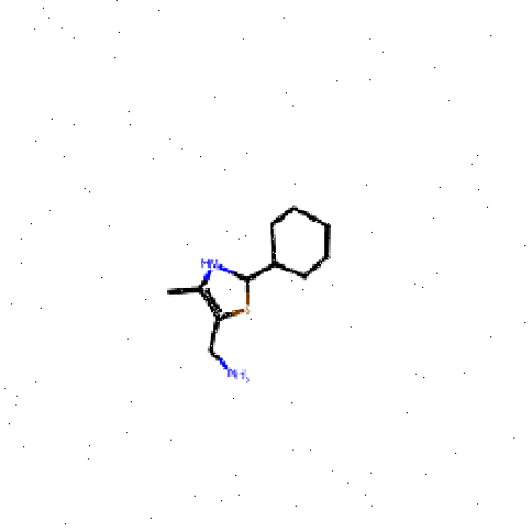 CC1=C(CN)SC(C2CCCCC2)N1